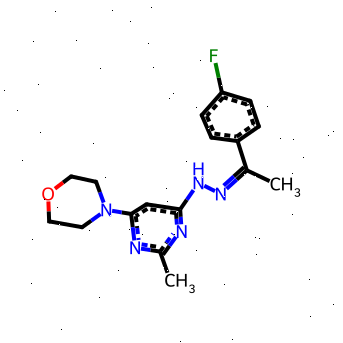 CC(=NNc1cc(N2CCOCC2)nc(C)n1)c1ccc(F)cc1